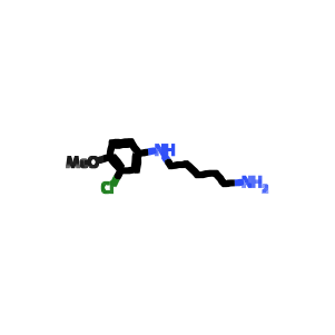 COc1ccc(NCCCCCN)cc1Cl